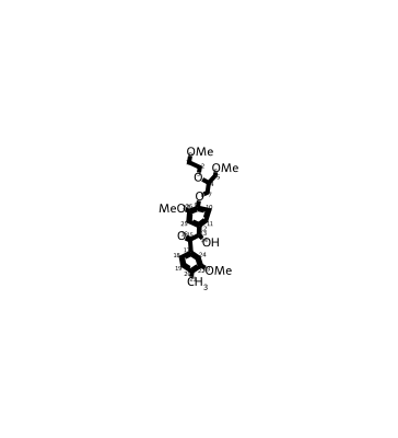 COCCOC(COC)COc1ccc(C(O)C(=O)c2ccc(C)c(OC)c2)cc1OC